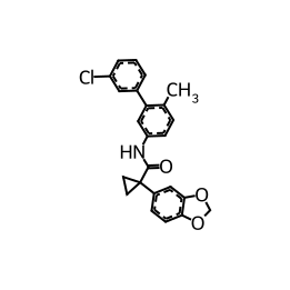 Cc1ccc(NC(=O)C2(c3ccc4c(c3)OCO4)CC2)cc1-c1cccc(Cl)c1